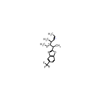 C/C=C\C(C)[C@H](SC)C(C)c1nc2cc(C(F)(F)F)ccc2o1